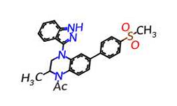 CC(=O)N1c2ccc(-c3ccc(S(C)(=O)=O)cc3)cc2N(c2n[nH]c3ccccc23)CC1C